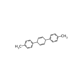 Cc1ccc(C2C=CC(c3ccc(C)cc3)C=C2)cc1